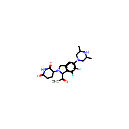 CC1CN(c2cc3c(c(F)c2F)C(C(=O)C=O)N(C2CCC(=O)NC2=O)C3)CC(C)N1